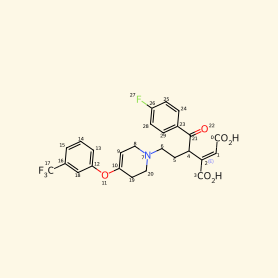 O=C(O)/C=C(/C(=O)O)C(CCN1CC=C(Oc2cccc(C(F)(F)F)c2)CC1)C(=O)c1ccc(F)cc1